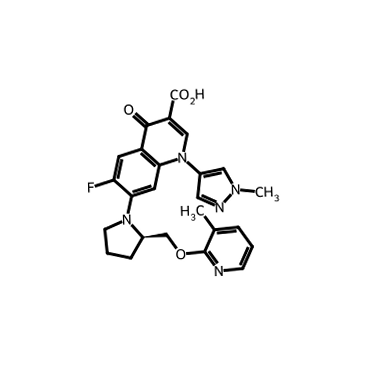 Cc1cccnc1OC[C@H]1CCCN1c1cc2c(cc1F)c(=O)c(C(=O)O)cn2-c1cnn(C)c1